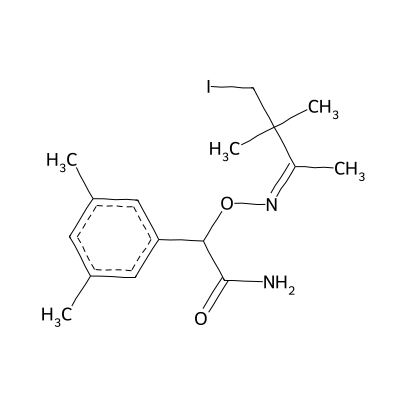 CC(=NOC(C(N)=O)c1cc(C)cc(C)c1)C(C)(C)CI